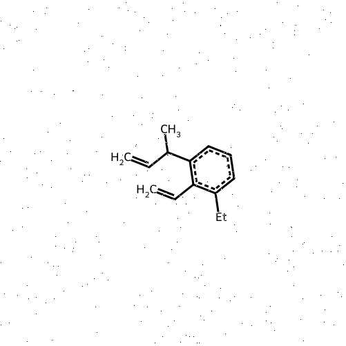 C=C[C](C)c1cccc(CC)c1C=C